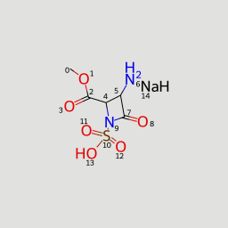 COC(=O)C1C(N)C(=O)N1S(=O)(=O)O.[NaH]